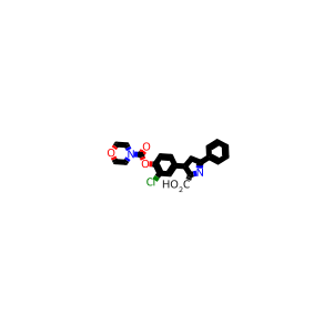 O=C(O)C1N=C(c2ccccc2)CC1c1ccc(OC(=O)N2CCOCC2)c(Cl)c1